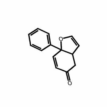 O=C1C=CC2(c3ccccc3)OC=CC2C1